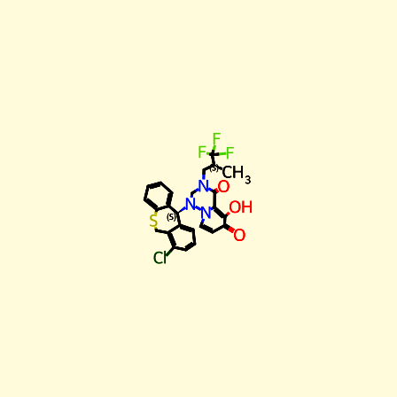 C[C@@H](CN1CN([C@@H]2c3ccccc3SCc3c(Cl)cccc32)n2ccc(=O)c(O)c2C1=O)C(F)(F)F